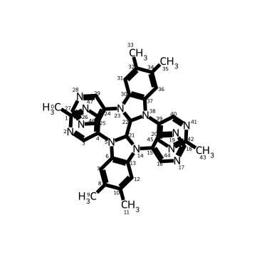 Cc1ncc(N2c3cc(C)c(C)cc3N(c3cncnc3)C2C2N(c3cncnc3)c3cc(C)c(C)cc3N2c2cnc(C)nc2)cn1